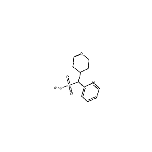 COS(=O)(=O)C(c1ccccn1)C1CCOCC1